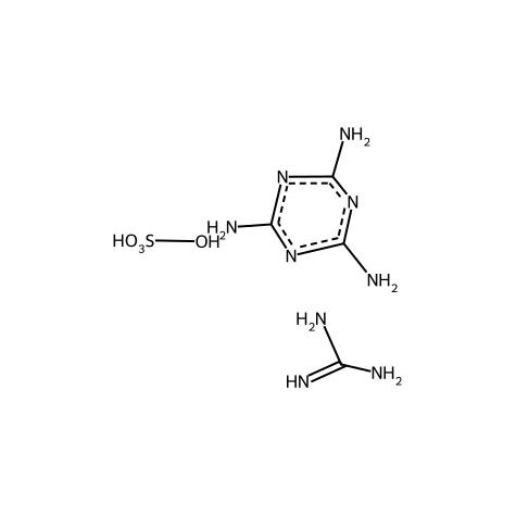 N=C(N)N.Nc1nc(N)nc(N)n1.O=S(=O)(O)O